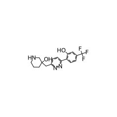 Oc1cc(C(F)(F)F)ccc1-c1ccc(CC2(O)CCCNC2)nn1